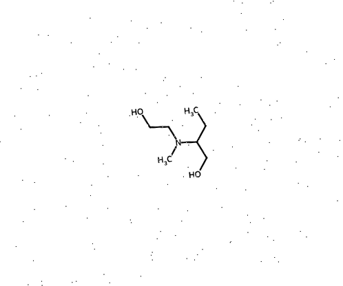 CCC(CO)N(C)CCO